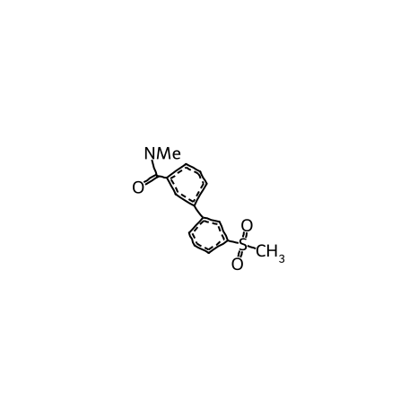 CNC(=O)c1cccc(-c2cccc(S(C)(=O)=O)c2)c1